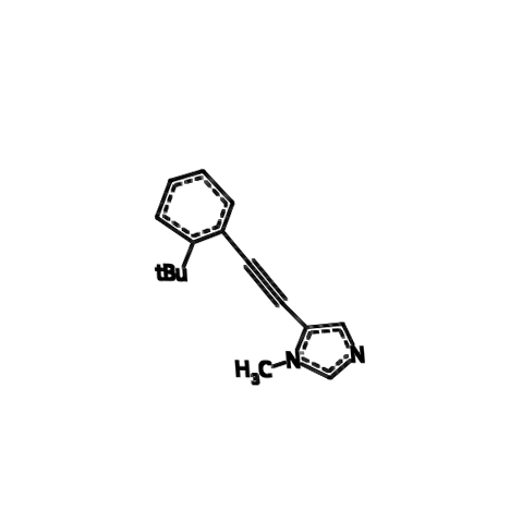 Cn1cncc1C#Cc1ccccc1C(C)(C)C